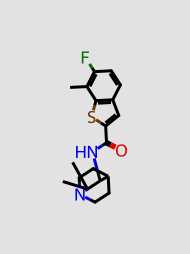 Cc1c(F)ccc2cc(C(=O)NC3C4CCN(CC4)C3(C)C)sc12